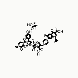 CCN1CCN(C(=O)NC(C(=O)N[C@@H]2C(=O)N3C(C(=O)O)=C(CN4CCN(c5cc6c(cc5F)c(=O)c(C(=O)O)cn6C5CC5)CC4)CS[C@H]23)c2ccc(O)cc2)C(=O)C1=O.O=C(O)C(F)(F)F